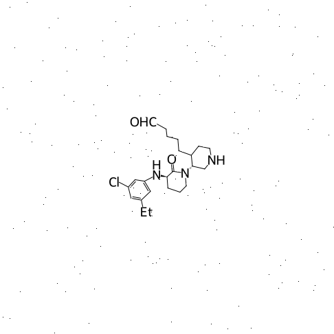 CCc1cc(Cl)cc(N[C@@H]2CCCN([C@H]3CNCCC3CCCCC=O)C2=O)c1